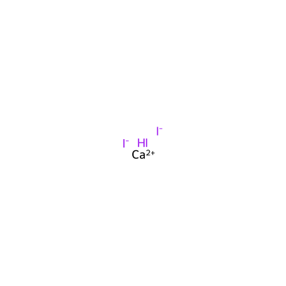 I.[Ca+2].[I-].[I-]